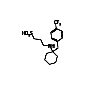 O=S(=O)(O)CCCNC1(Cc2ccc(C(F)(F)F)cc2)CCCCC1